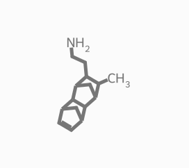 CC1C(CCN)C2CC1C1C3C=CC(C3)C21